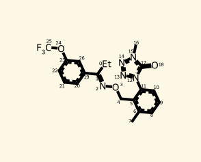 CCC(=NOCc1c(C)cccc1-n1nnn(C)c1=O)c1cccc(OC(F)(F)F)c1